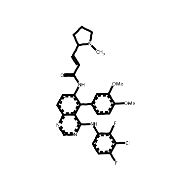 COc1ccc(-c2c(NC(=O)/C=C/C3CCCN3C)ccc3ncnc(Nc4ccc(F)c(Cl)c4F)c23)cc1OC